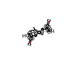 CCCCC(CC)COc1cc(-c2ccc(-c3sc(B(O)OC)c4c3OCC(CCCC)(CCCC)CO4)s2)c(OC)cc1-c1ccc(-c2sc(B(O)O)c3c2OCC(CCCC)(CCCC)CO3)s1